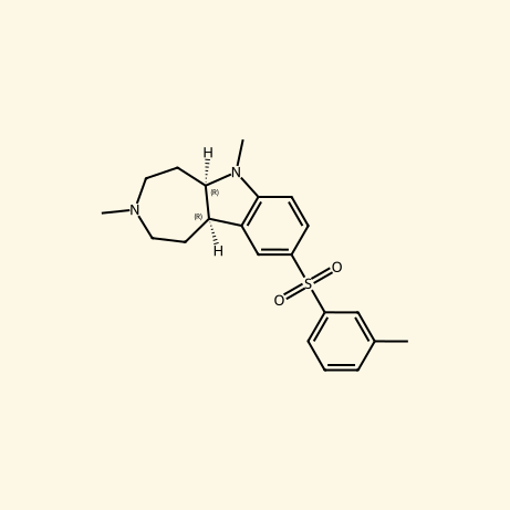 Cc1cccc(S(=O)(=O)c2ccc3c(c2)[C@H]2CCN(C)CC[C@H]2N3C)c1